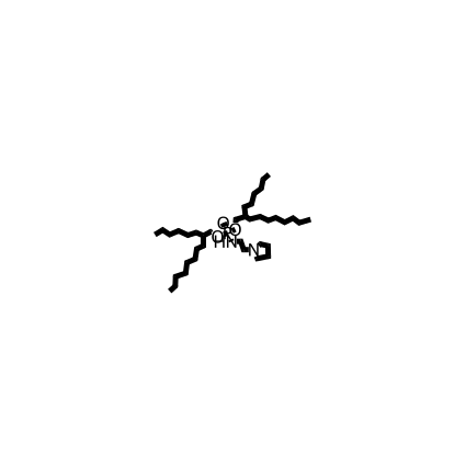 CCCCCCCCC(CCCCCC)COP(=O)(NCCN1CCCC1)OCC(CCCCCC)CCCCCCCC